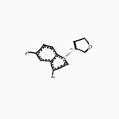 CC(=O)c1cn([C@@H]2CCOC2)c2ccc(F)cc12